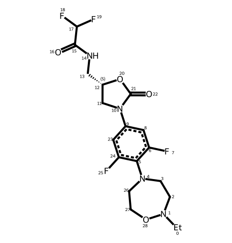 CCN1CCN(c2c(F)cc(N3C[C@H](CNC(=O)C(F)F)OC3=O)cc2F)CCO1